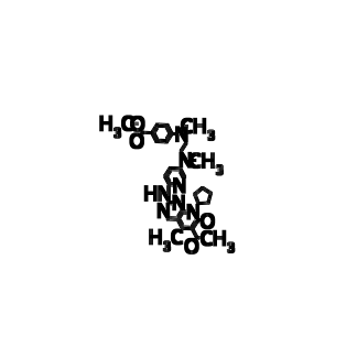 COC(=O)c1ccc(N(C)CCN(C)c2ccc(Nc3ncc4c(C)c(C(C)=O)c(=O)n(C5CCCC5)c4n3)nc2)cc1